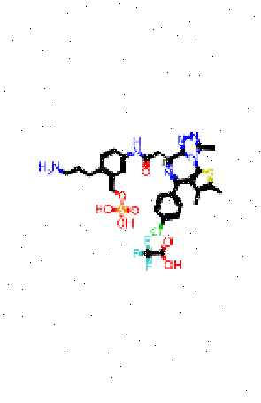 Cc1sc2c(c1C)C(c1ccc(Cl)cc1)=N[C@@H](CC(=O)Nc1ccc(CCCN)c(COP(=O)(O)O)c1)c1nnc(C)n1-2.O=C(O)C(F)(F)F